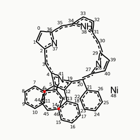 C1=Cc2cc3c(-c4ccccc4)c(-c4ccccc4)c(c(-c4ccccc4)c4nc(cc5ccc(cc1n2)[nH]5)C=C4)n3-c1ccccc1.[Ni]